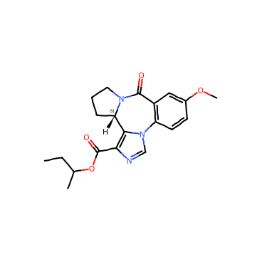 CCC(C)OC(=O)c1ncn2c1[C@@H]1CCCN1C(=O)c1cc(OC)ccc1-2